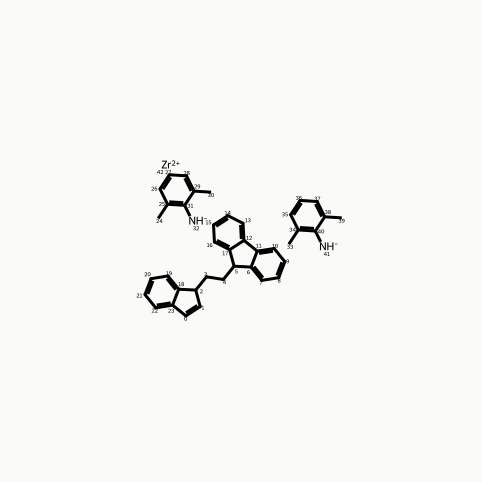 C1=CC(CCC2c3ccccc3-c3ccccc32)c2ccccc21.Cc1cccc(C)c1[NH-].Cc1cccc(C)c1[NH-].[Zr+2]